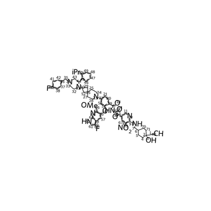 C#CC1(O)CCC(CNc2ncc(S(=O)(=O)NC(=O)c3ccc(N4CCC5(CC4)CC(N4CCN(Cc6ccc(F)cc6)C[C@H]4c4ccccc4C(C)C)C5)cc3Oc3cc4c(F)c[nH]c4nc3OC)cc2[N+](=O)[O-])CC1